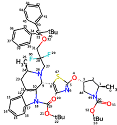 C[C@@H]1C[C@@H](Oc2ncc([C@@H]3c4c(c5ccccc5n4C(=O)OC(C)(C)C)C[C@@H](C)N3CC(F)(F)CO[Si](c3ccccc3)(c3ccccc3)C(C)(C)C)s2)CN1C(=O)OC(C)(C)C